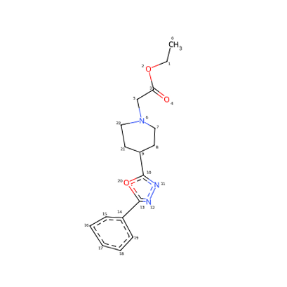 CCOC(=O)CN1CCC(c2nnc(-c3ccccc3)o2)CC1